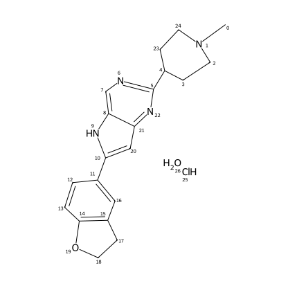 CN1CCC(c2ncc3[nH]c(-c4ccc5c(c4)CCO5)cc3n2)CC1.Cl.O